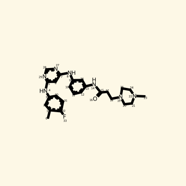 Cc1cc(Nc2cc(Nc3cccc(NC(=O)CCN4CCN(C)CC4)c3)ncn2)ccc1F